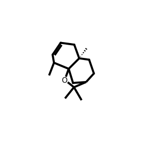 CC1C=CC[C@@]2(C)CCC3CC12OC3(C)C